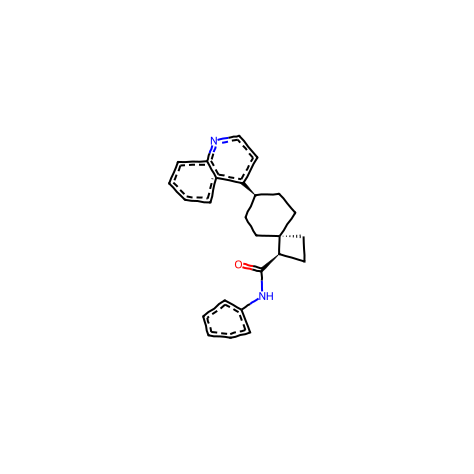 O=C(Nc1ccccc1)[C@@H]1CC[C@]12CC[C@H](c1ccnc3ccccc31)CC2